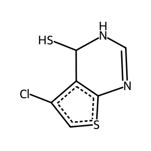 SC1NC=Nc2scc(Cl)c21